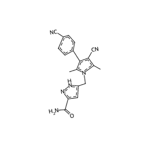 Cc1c(C#N)c(-c2ccc(C#N)cc2)c(C)n1Cc1cc(C(N)=O)n[nH]1